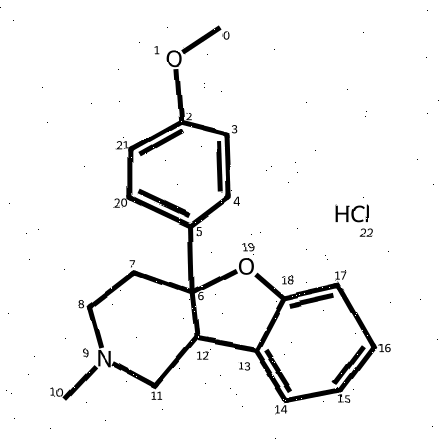 COc1ccc(C23CCN(C)CC2c2ccccc2O3)cc1.Cl